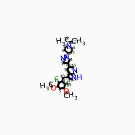 COc1cc(OC)c(F)c(Cc2c[nH]c3ncc(-c4cnn(C5CCN(C(C)C)CC5)c4)cc23)c1F